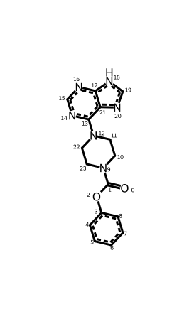 O=C(Oc1ccccc1)N1CCN(c2ncnc3[nH]cnc23)CC1